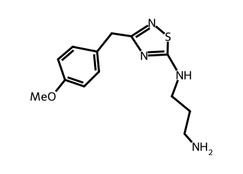 COc1ccc(Cc2nsc(NCCCN)n2)cc1